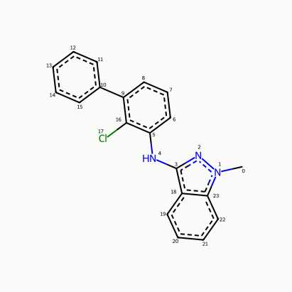 Cn1nc(Nc2cccc(-c3ccccc3)c2Cl)c2ccccc21